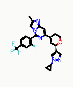 Cc1cn2c(-c3ccc(C(F)(F)F)cc3F)nc(C3=C[C@H](c4cnn(C5CC5)c4)OCC3)cc2n1